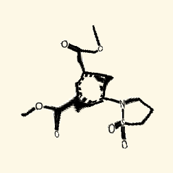 COC(=O)c1cc(C(=O)OC)cc(N2CCCS2(=O)=O)c1